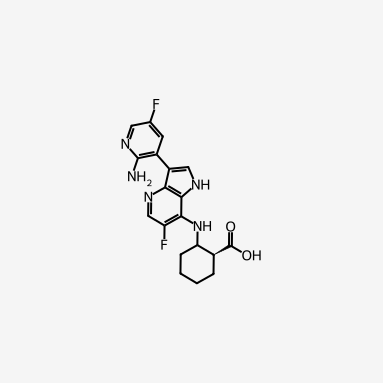 Nc1ncc(F)cc1-c1c[nH]c2c(NC3CCCC[C@@H]3C(=O)O)c(F)cnc12